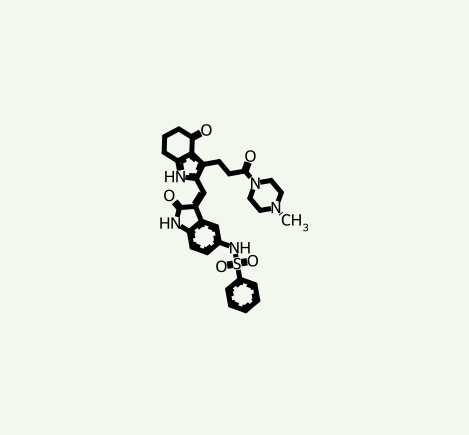 CN1CCN(C(=O)CCc2c(/C=C3\C(=O)Nc4ccc(NS(=O)(=O)c5ccccc5)cc43)[nH]c3c2C(=O)CCC3)CC1